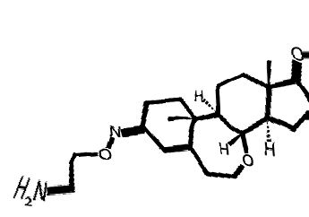 C[C@]12CC/C(=N/OCCN)CC1CCO[C@@H]1[C@@H]2CC[C@]2(C)C(=O)CC[C@@H]12